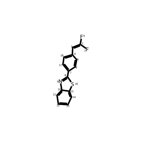 FC(F)=Cc1ccc(-c2nc3ccccc3s2)cc1